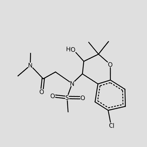 CN(C)C(=O)CN(C1c2cc(Cl)ccc2OC(C)(C)C1O)S(C)(=O)=O